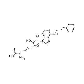 N[C@@H](CCSC[C@H]1O[C@@H](n2cnc3c(NCCCc4ccccc4)ncnc32)[C@H](O)[C@@H]1O)C(=O)O